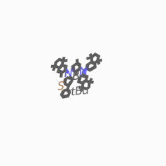 Cc1cc2c3c(c1)N(c1cc4c(cc1C)C(C)(C)CCC4(C)C)c1cc4sc5cccc(C(C)(C)C)c5c4cc1B3c1cc3c(cc1N2c1ccc2c(c1)C(C)(C)CCC2(C)C)C(C)(C)CCC3(C)C